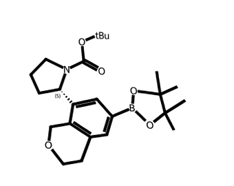 CC(C)(C)OC(=O)N1CCC[C@H]1c1cc(B2OC(C)(C)C(C)(C)O2)cc2c1COCC2